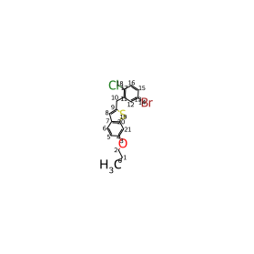 CCCOc1ccc2cc(Cc3cc(Br)ccc3Cl)sc2c1